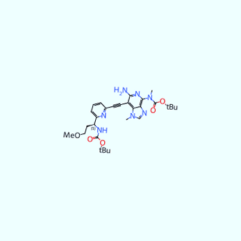 COCC[C@H](NC(=O)OC(C)(C)C)c1cccc(C#Cc2c(N)nc(N(C)C(=O)OC(C)(C)C)c3ncn(C)c23)n1